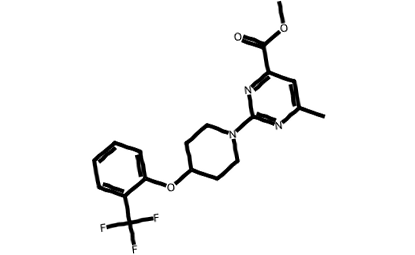 COC(=O)c1cc(C)nc(N2CCC(Oc3ccccc3C(F)(F)F)CC2)n1